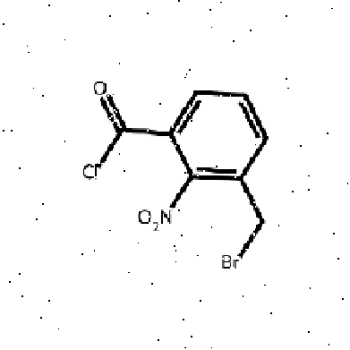 O=C(Cl)c1cccc(CBr)c1[N+](=O)[O-]